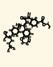 CCOC(=O)c1ccc2c(c1)NC(=O)/C2=C(\Nc1ccc(N(CCN(C)C)C(C)=O)cc1)c1ccc2c(c1)OCCO2